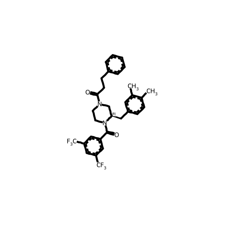 Cc1ccc(C[C@@H]2CN(C(=O)CCc3ccccc3)CCN2C(=O)c2cc(C(F)(F)F)cc(C(F)(F)F)c2)cc1C